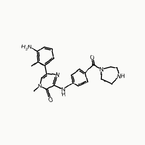 Cc1c(N)cccc1-c1cn(C)c(=O)c(Nc2ccc(C(=O)N3CCNCC3)cc2)n1